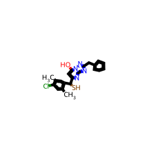 Cc1cc(C(S)c2cc(O)n3nc(Cc4ccccc4)nc3n2)c(C)cc1Cl